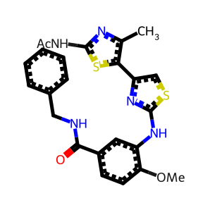 COc1ccc(C(=O)NCc2ccccc2)cc1Nc1nc(-c2sc(NC(C)=O)nc2C)cs1